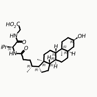 CC(C)[C@H](NC(=O)CC[C@@H](C)[C@H]1CC[C@H]2[C@@H]3CC[C@@H]4C[C@H](O)CC[C@]4(C)[C@H]3CC[C@]12C)C(=O)NCC(=O)O